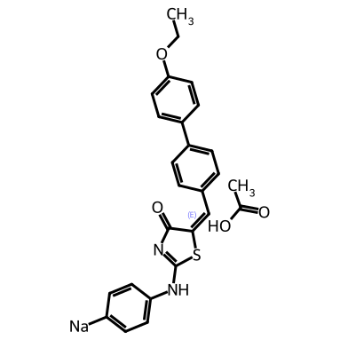 CC(=O)O.CCOc1ccc(-c2ccc(/C=C3/SC(Nc4cc[c]([Na])cc4)=NC3=O)cc2)cc1